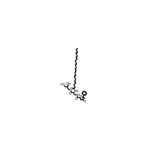 CCC=CCC=CCC=CCC=CCC=CCC=CCCC(=O)NC(CNC(=O)C1=CC(=O)C(C)(c2ccccc2)O1)C(=O)OCC(CO)CO